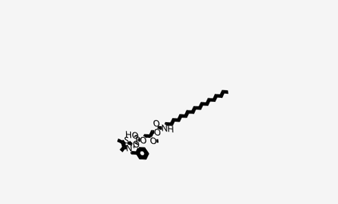 CCCCCCCCCCCCCCCCCCNC(=O)OCC(COP(O)Oc1ccccc1C[n+]1csc(C)c1C)OC